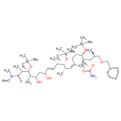 CON(C)C(=O)C(C)C(O[Si](C)(C)C(C)(C)C)C(C)C(O)CC(O)C=C[C@H](C)[C@H](O[Si](C)(C)C(C)(C)C)[C@@H](C)/C=C(/C)C[C@H](C)[C@@H](O[Si](C)(C)C(C)(C)C)[C@H](C)[C@@H](OC(N)=O)[C@@H](C)COCc1ccccc1